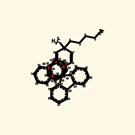 CC1(CCCCBr)C=C[N]2C(=C1)c1cccc[n+]1[Ru]213([n+]2ccccc2-c2cccc[n+]21)[n+]1ccccc1-c1cccc[n+]13